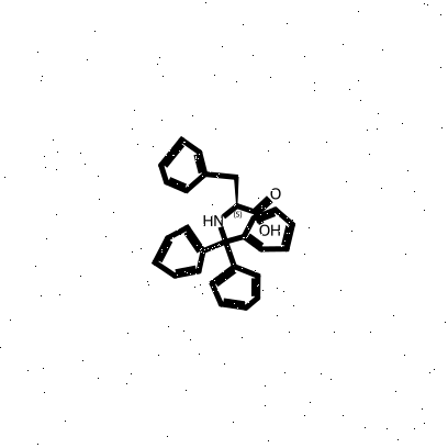 O=C(O)[C@H](Cc1ccccc1)NC(c1ccccc1)(c1ccccc1)c1ccccc1